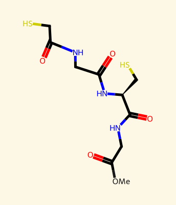 COC(=O)CNC(=O)[C@H](CS)NC(=O)CNC(=O)CS